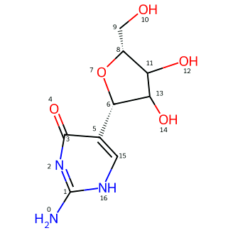 Nc1nc(=O)c([C@@H]2O[C@H](CO)C(O)C2O)c[nH]1